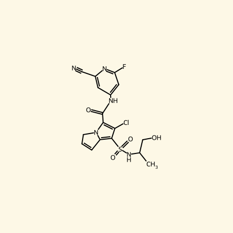 CC(CO)NS(=O)(=O)c1c(Cl)c(C(=O)Nc2cc(F)nc(C#N)c2)n2c1C=CC2